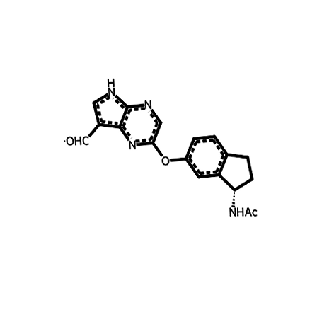 CC(=O)N[C@H]1CCc2ccc(Oc3cnc4[nH]cc([C]=O)c4n3)cc21